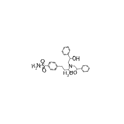 CC(CCc1ccc(S(N)(=O)=O)cc1)N(CC(O)c1ccccc1)CC(O)c1ccccc1